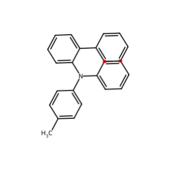 Cc1ccc(N(c2ccccc2)c2ccccc2-c2ccccc2)cc1